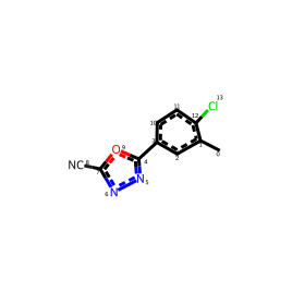 Cc1cc(-c2nnc(C#N)o2)ccc1Cl